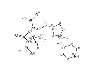 C[C@@H](O)[C@H]1C(=O)N2C(C(=O)[O-])=C(S[C@@H]3CC[N+](C)(CC4CCNCC4)C3)[C@H](C)[C@H]12